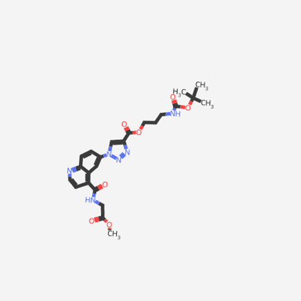 COC(=O)CNC(=O)c1ccnc2ccc(-n3cc(C(=O)OCCCNC(=O)OC(C)(C)C)nn3)cc12